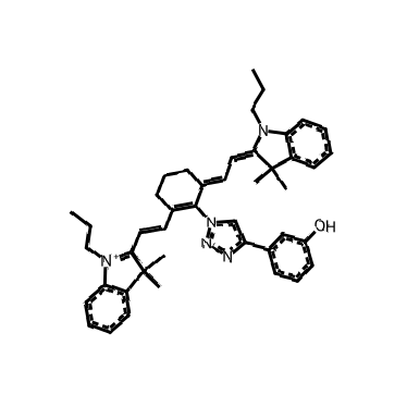 CCCN1/C(=C/C=C2\CCCC(/C=C/C3=[N+](CCC)c4ccccc4C3(C)C)=C2n2cc(-c3cccc(O)c3)nn2)C(C)(C)c2ccccc21